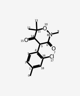 Cc1ccc(C2C(=O)N(C)OC(C)(C)C2=O)c(Cl)c1